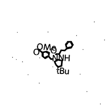 COC(=O)c1ccc(CN2C(=O)C(CCc3ccccc3)NC23CCC(C(C)(C)C)CC3)cc1